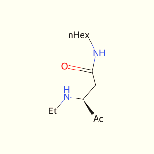 CCCCCCNC(=O)C[C@H](NCC)C(C)=O